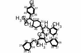 Cc1ccccc1NC(c1nc(Cc2ccccc2)c(N(C)Cc2ccccc2)o1)C1CCC(C(c2ccc(Cl)cc2)N(C)C)CC1